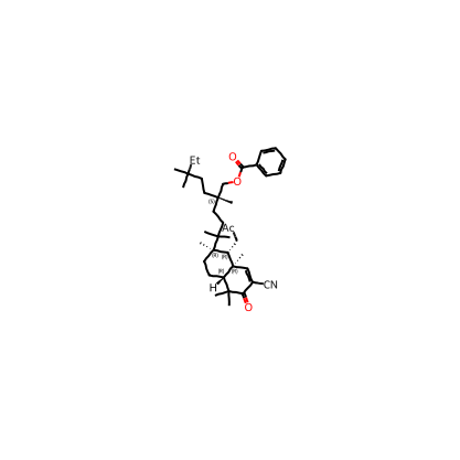 CCC(C)(C)CC[C@@](C)(CCC(C)(C)[C@]1(C)CC[C@H]2C(C)(C)C(=O)C(C#N)=C[C@]2(C)[C@H]1CC(C)=O)COC(=O)c1ccccc1